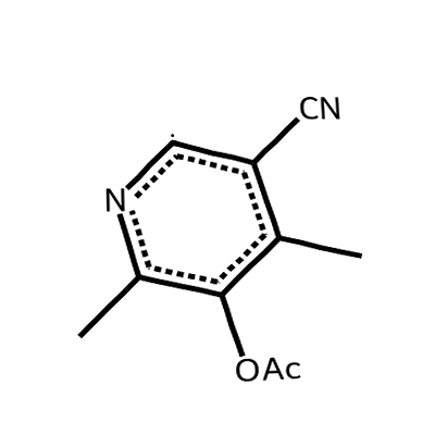 CC(=O)Oc1c(C)n[c]c(C#N)c1C